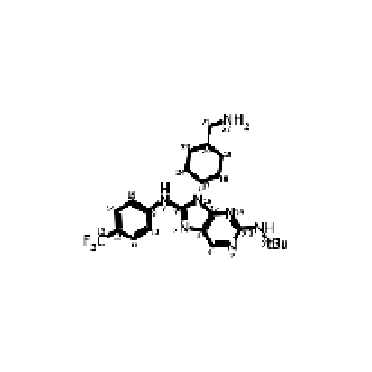 CC(C)(C)Nc1ncc2nc(Nc3ccc(C(F)(F)F)cc3)n([C@H]3CC[C@H](CN)CC3)c2n1